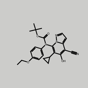 CCOc1ccc(N(C(=O)OC(C)(C)C)c2c(C3CC3)c(O)c(C#N)c3ccnn23)cc1